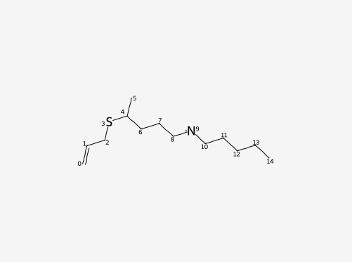 C=CCSC(C)CCC[N]CCCCC